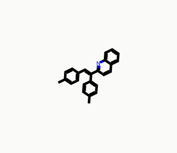 Cc1ccc(C=C(c2ccc(C)cc2)c2ccc3ccccc3n2)cc1